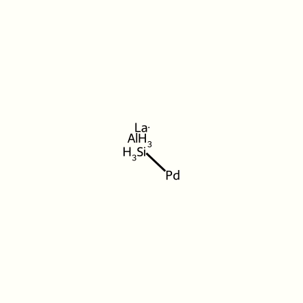 [AlH3].[La].[SiH3][Pd]